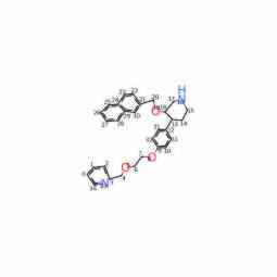 c1ccc(COCCOc2ccc(C3CCNCC3OCc3ccc4ccccc4c3)cc2)nc1